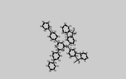 CC1(C)c2ccccc2-c2cc(N(c3ccc4c(c3)-c3ccccc3C4(C)C)c3cc(-c4ccc(-c5ccccc5)cc4)nc(-c4ccc(-c5ccccc5)cc4)n3)ccc21